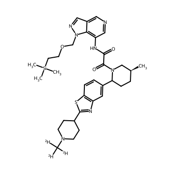 [2H]C([2H])([2H])N1CCC(c2nc3cc(C4CC[C@H](C)CN4C(=O)C(=O)Nc4cncc5cnn(COCC[Si](C)(C)C)c45)ccc3s2)CC1